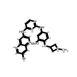 COc1cc(Nc2nccc(Nc3cnc4cc(Br)cnc4c3)n2)ccc1OC1CN(C)C1